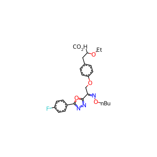 CCCCON=C(COc1ccc(CC(OCC)C(=O)O)cc1)c1nnc(-c2ccc(F)cc2)o1